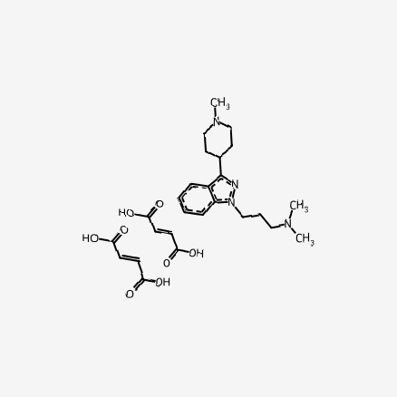 CN(C)CCCn1nc(C2CCN(C)CC2)c2ccccc21.O=C(O)C=CC(=O)O.O=C(O)C=CC(=O)O